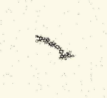 N#Cc1ccc(N2CCc3c(ncnc3Nc3ccc(C(=O)N[C@H]4CC[C@H](CN5CCN(c6cc(F)cc7c6CN(C6CCC(=O)NC6=O)C7=O)CC5)CC4)c(F)n3)C2)cc1Cl